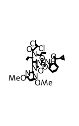 C=CCN(CC=C)C(=O)C(Cl)Cl.COc1cc(OC)nc(NC(=O)NS(=O)(=O)Nc2ccccc2C(=O)C2CC2)n1